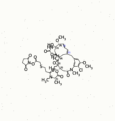 COc1cc2cc(c1Cl)N(C)C(=O)C[C@H](OC(=O)[C@H](C)N(C)C(=O)CCSCC(=O)ON1C(=O)CCC1=O)[C@]1(C)O[C@H]1[C@@H]1C/C(=C\C=C\[C@@H](OC)[C@@]3(O)C[C@@H]1OC(=O)N3)C2